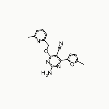 Cc1cccc(COc2nc(N)nc(-c3ccc(C)o3)c2C#N)n1